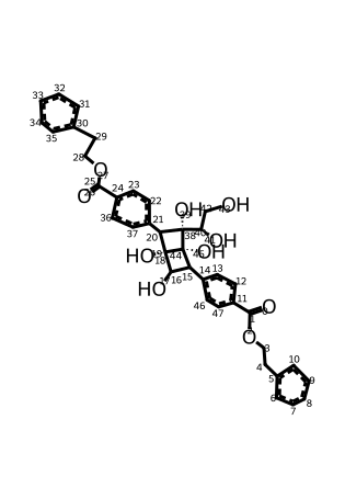 O=C(OCCc1ccccc1)c1ccc(C2C(O)[C@@]3(O)C(c4ccc(C(=O)OCCc5ccccc5)cc4)[C@@](O)([C@H](O)CO)[C@@]23O)cc1